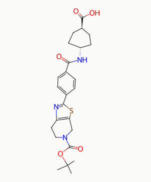 CC(C)(C)OC(=O)N1CCc2nc(-c3ccc(C(=O)N[C@H]4CC[C@H](C(=O)O)CC4)cc3)sc2C1